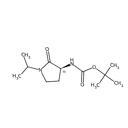 CC(C)N1CC[C@H](NC(=O)OC(C)(C)C)C1=O